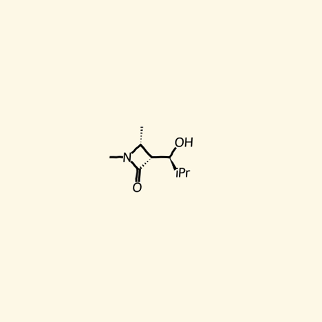 CC(C)[C@H](O)[C@@H]1C(=O)N(C)[C@@H]1C